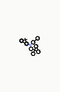 CC1(C)c2ccccc2-c2ccc(N(C3CC=C(C4=CC=CCC4)CC3)C3CCCC(C4(C5=CCCCC5)C5=C(C=CCC5)C5C=CCCC54)C3)cc21